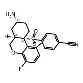 N#Cc1ccc(S(=O)(=O)[C@@]23CC[C@@H](N)C[C@@H]2COc2c(F)ccc(F)c23)cc1